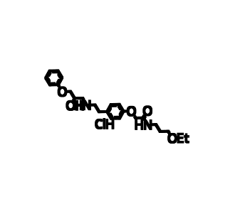 CCOCCCNC(=O)COc1ccc(CCNCC(O)COc2ccccc2)cc1.Cl